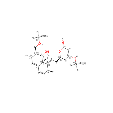 C[C@H]1C=CC2=C[C@H](C)[C@@H](CO[Si](C)(C)C(C)(C)C)[C@H](O)[C@@H]2[C@H]1CC[C@@H]1C[C@@H](O[Si](C)(C)C(C)(C)C)CC(=O)O1